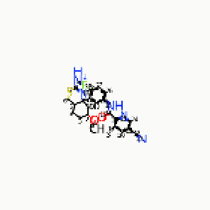 COC1CCC2CSC(N)=NC2(c2cc(NC(=O)c3ccc(C#N)cn3)ccc2F)C1